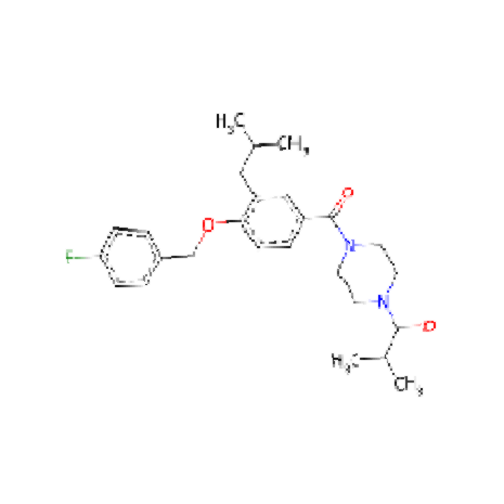 CC(C)Cc1cc(C(=O)N2CCN(C(=O)C(C)C)CC2)ccc1OCc1ccc(F)cc1